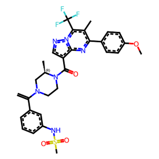 C=C(c1cccc(NS(C)(=O)=O)c1)N1CCN(C(=O)c2cnn3c(C(F)(F)F)c(C)c(-c4ccc(OC)cc4)nc23)[C@H](C)C1